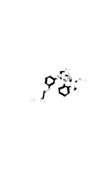 O=C(O)COc1cccc(-[n+]2cnnn2-c2ccccc2S(=O)(=O)O)c1